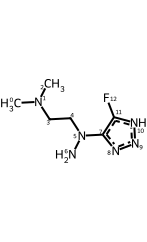 CN(C)CCN(N)c1nn[nH]c1F